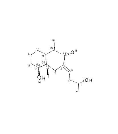 CC(O)CC=C1C[C@@]2(C)C(CCC[C@@H]2O)C(C)C1=O